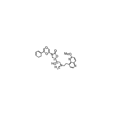 COc1ccc2nccc(CCN(C)C[C@@H](O)[C@H]3CN(C4=COC=C(C5=CC=CCC5)O4)C(=O)O3)c2n1